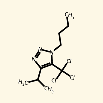 CCCCn1nnc(C(C)C)c1C(Cl)(Cl)Cl